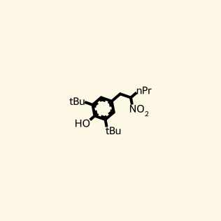 CCCC(Cc1cc(C(C)(C)C)c(O)c(C(C)(C)C)c1)[N+](=O)[O-]